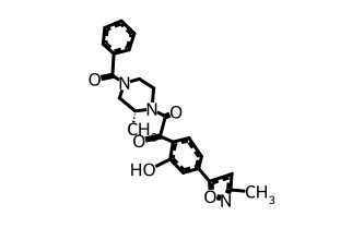 Cc1cc(-c2ccc(C(=O)C(=O)N3CCN(C(=O)c4ccccc4)C[C@H]3C)c(O)c2)on1